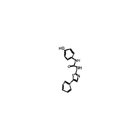 O=C(Nc1ccc(O)cc1)Nc1ncc(-c2ccccc2)s1